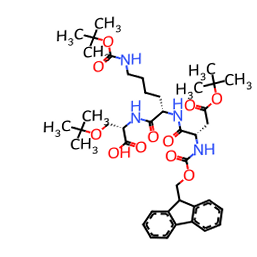 CC(C)(C)OC[C@H](NC(=O)[C@H](CCCCNC(=O)OC(C)(C)C)NC(=O)[C@H](CC(=O)OC(C)(C)C)NC(=O)OCC1c2ccccc2-c2ccccc21)C(=O)O